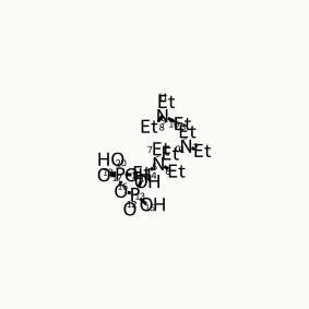 CCN(CC)CC.CCN(CC)CC.CCN(CC)CC.O=P(O)(O)OP(=O)(O)O